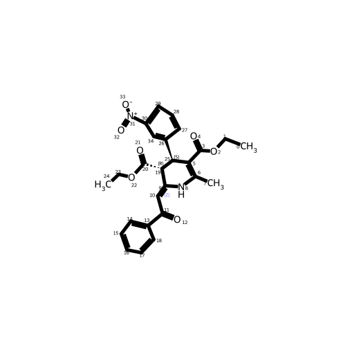 CCOC(=O)C1=C(C)N/C(=C\C(=O)c2ccccc2)[C@H](C(=O)OCC)[C@H]1c1cccc([N+](=O)[O-])c1